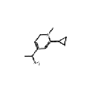 CC(N)C1=CCN(C)C(C2CC2)=C1